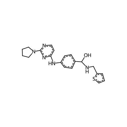 OC(NCc1cccs1)c1ccc(Nc2ccnc(N3CCCC3)n2)cc1